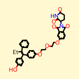 CCC(=C(c1ccc(O)cc1)c1ccc(OCCOCCOc2ccc3c(c2)C(=O)N(C2CCC(=O)NC2=O)C3=O)cc1)c1ccccc1